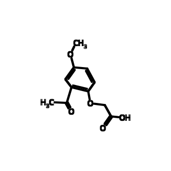 COc1ccc(OCC(=O)O)c(C(C)=O)c1